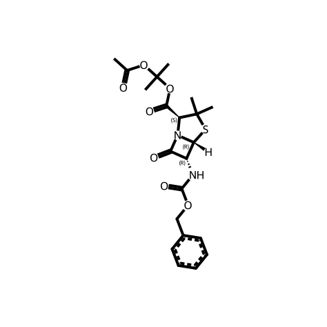 CC(=O)OC(C)(C)OC(=O)[C@@H]1N2C(=O)[C@@H](NC(=O)OCc3ccccc3)[C@H]2SC1(C)C